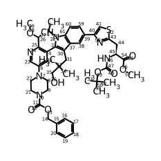 CCn1c(-c2cc(N3CCN(C(=O)OCc4ccccc4)CC3)cnc2[C@H](C)OC)c(CC(C)(C)CO)c2cc(-c3csc(C[C@H](NC(=O)OC(C)(C)C)C(=O)OC)n3)ccc21